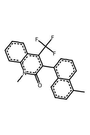 Cc1cccc2c(-c3c(C(F)(F)F)c4ccccc4n(C)c3=O)cccc12